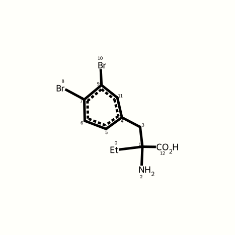 CCC(N)(Cc1ccc(Br)c(Br)c1)C(=O)O